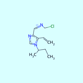 C=Cc1c(/C=N\CCl)ncn1C(C)CC